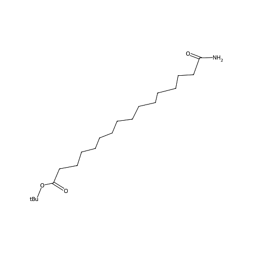 CC(C)(C)OC(=O)CCCCCCCCCCCCCCC(N)=O